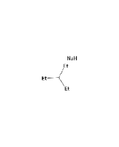 CC[C](CC)CC.[NaH]